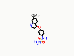 COc1ccc2c(Oc3ccc(NS(N)(=O)=O)cc3)ccnc2c1